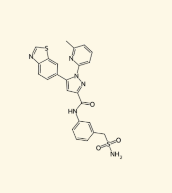 Cc1cccc(-n2nc(C(=O)Nc3cccc(CS(N)(=O)=O)c3)cc2-c2ccc3ncsc3c2)n1